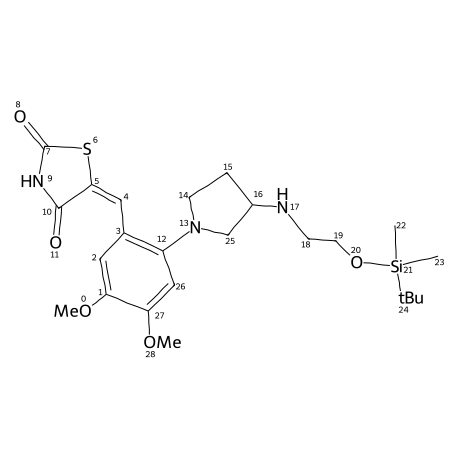 COc1cc(C=C2SC(=O)NC2=O)c(N2CCC(NCCO[Si](C)(C)C(C)(C)C)C2)cc1OC